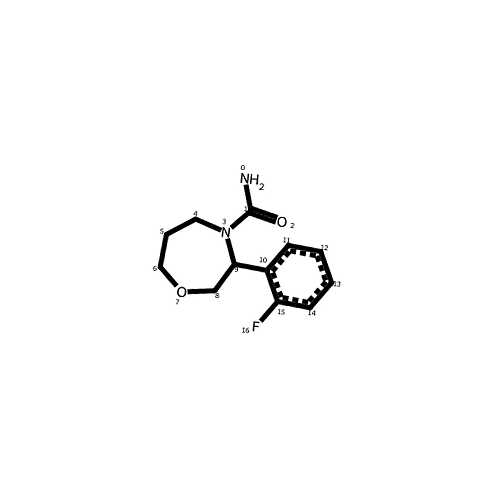 NC(=O)N1CCCOCC1c1ccccc1F